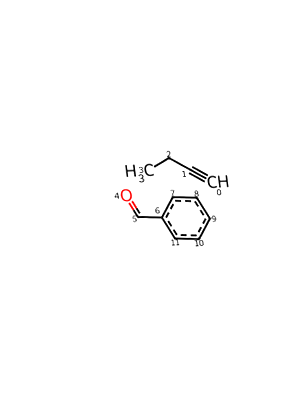 C#CCC.O=Cc1ccccc1